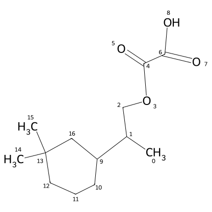 CC(COC(=O)C(=O)O)C1CCCC(C)(C)C1